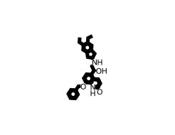 CCc1cc2c(cc1CC)CC(NC[C@@H](O)c1ccc(OCc3ccccc3)c3[nH]c(=O)ccc13)C2